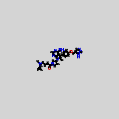 Cc1c(-c2ccc(OCc3cnn[nH]3)cc2)c2c(N)ncnc2n1C1CCN(C(=O)C=CCN(C)C2CC2)C1